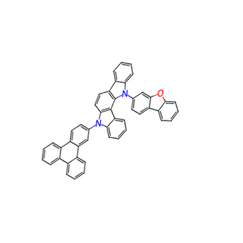 c1ccc2c(c1)oc1cc(-n3c4ccccc4c4ccc5c(c6ccccc6n5-c5ccc6c7ccccc7c7ccccc7c6c5)c43)ccc12